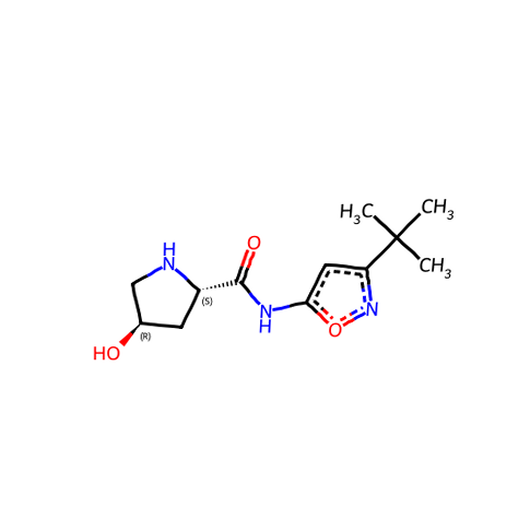 CC(C)(C)c1cc(NC(=O)[C@@H]2C[C@@H](O)CN2)on1